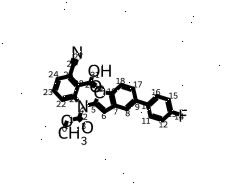 COC(=O)N(c1cc2cc(-c3ccc(F)cc3)ccc2o1)c1cccc(C#N)c1C(=O)O